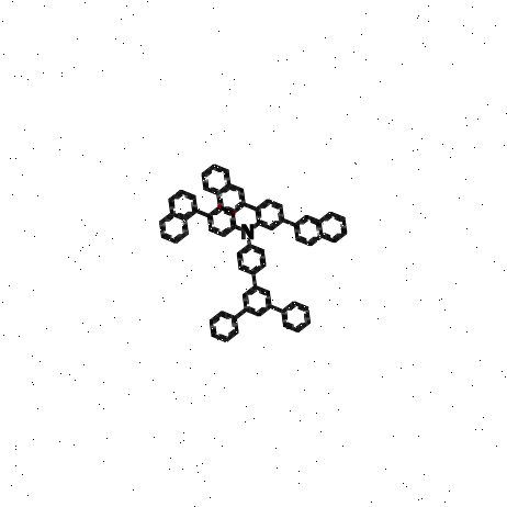 c1ccc(-c2cc(-c3ccccc3)cc(-c3ccc(N(c4ccc(-c5cccc6ccccc56)cc4)c4cc(-c5ccc6ccccc6c5)ccc4-c4ccc5ccccc5c4)cc3)c2)cc1